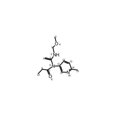 C=C(NCOC)N(C(=O)CC)c1ccc(C)nc1